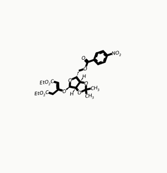 CCOC(=O)C=C(CC(=O)OCC)O[C@H]1O[C@H](COC(=O)c2ccc([N+](=O)[O-])cc2)[C@H]2OC(C)(C)O[C@@H]12